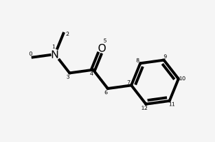 CN(C)CC(=O)Cc1ccccc1